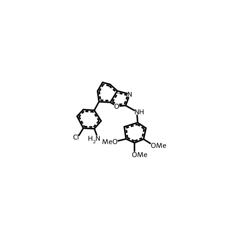 COc1cc(Nc2nc3cccc(-c4ccc(Cl)c(N)c4)c3o2)cc(OC)c1OC